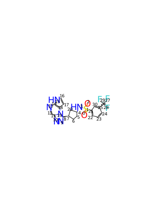 O=S(=O)(N[C@H]1CC[C@@H](c2nnc3cnc4[nH]ccc4n23)C1)c1cccc(C(F)(F)F)c1